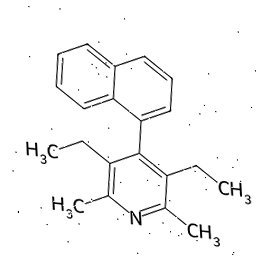 CCc1c(C)nc(C)c(CC)c1-c1cccc2ccccc12